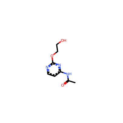 CC(=O)Nc1ccnc(OCCO)n1